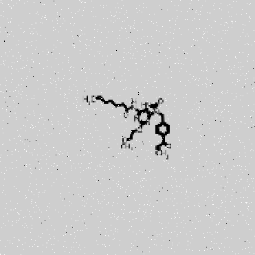 C=CC(=O)c1ccc(Cn2c(=O)[nH]c3c(NC(=O)CCCCCC)nc(OCCOC)nc32)cc1